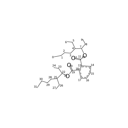 CCCCC(CC)C(CC)OC(=O)c1ccccc1C(=O)OC(CC)C(CC)CCCC